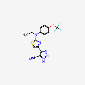 CCN(c1ccc(OC(F)(F)F)cc1)c1nc(-c2nn[nH]c2C#N)cs1